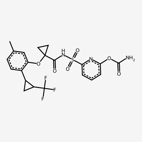 Cc1ccc(C2CC2C(F)(F)F)c(OC2(C(=O)NS(=O)(=O)c3cccc(OC(N)=O)n3)CC2)c1